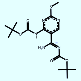 CSc1ncc(/C(N)=N/C(=O)OC(C)(C)C)c(NC(=O)OC(C)(C)C)n1